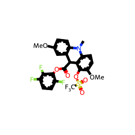 COc1ccc2c(c1)C(C(=O)Oc1c(F)ccc(F)c1F)c1c(ccc(OC)c1OS(=O)(=O)C(F)(F)F)N2C